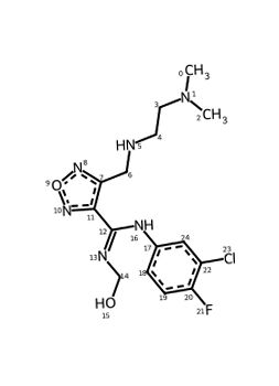 CN(C)CCNCc1nonc1/C(=N/CO)Nc1ccc(F)c(Cl)c1